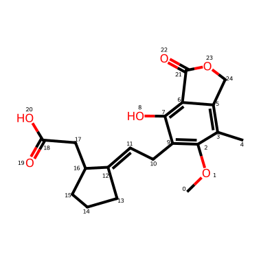 COc1c(C)c2c(c(O)c1CC=C1CCCC1CC(=O)O)C(=O)OC2